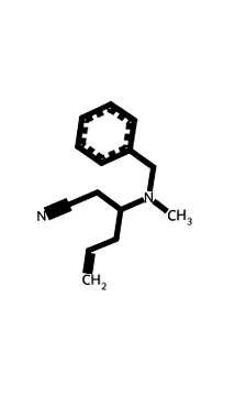 C=CCC(CC#N)N(C)Cc1ccccc1